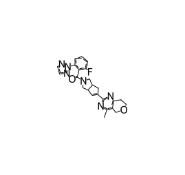 Cc1nc(C2=CC3CN(C(=O)c4c(F)cccc4-n4nccn4)CC3C2)nc2c1COCC2